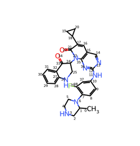 CC1CNCCN1c1ccc(Nc2ncc3cc(C4CC4)c(=O)n(C4CNc5ccccc5C4=O)c3n2)cc1F